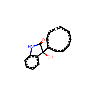 O=C1Nc2ccccc2C1(O)c1ccccccccc1